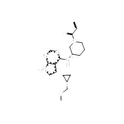 C=CC(=O)N1CCC[C@@H](Nc2ncnc3[nH]cc([C@@H]4C[C@H]4COC)c23)C1